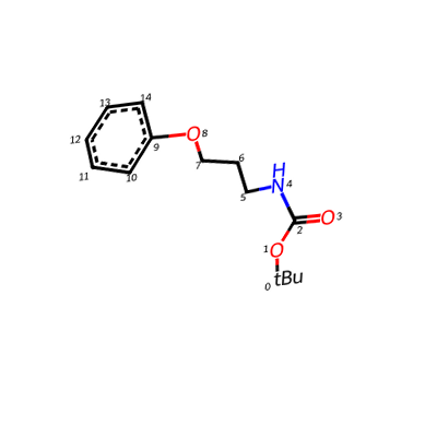 CC(C)(C)OC(=O)NCCCOc1ccccc1